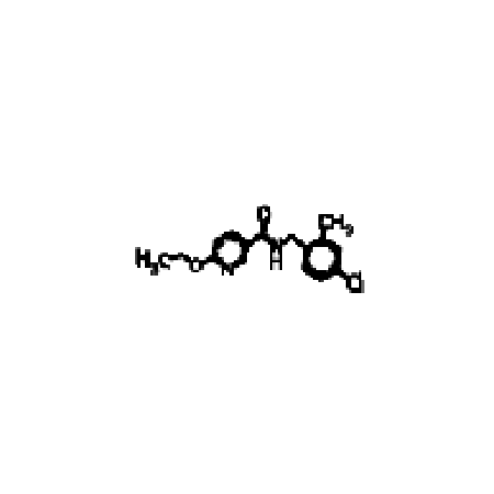 CCOc1ccc(C(=O)NCc2ccc(Cl)cc2C)cn1